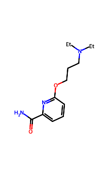 CCN(CC)CCCOc1cccc(C(N)=O)n1